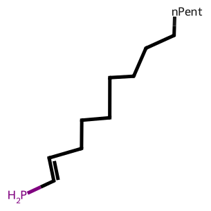 CCCCCCCCCCCCC=CP